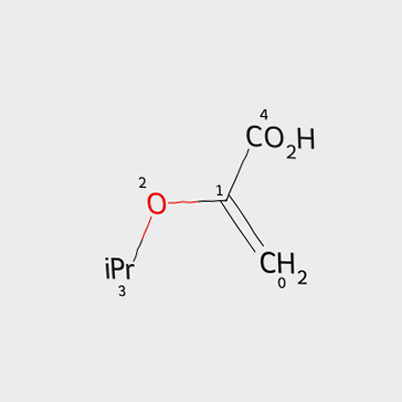 C=C(OC(C)C)C(=O)O